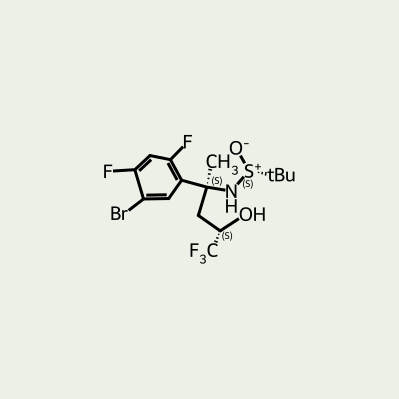 CC(C)(C)[S@@+]([O-])N[C@@](C)(C[C@H](O)C(F)(F)F)c1cc(Br)c(F)cc1F